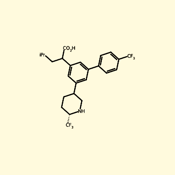 CC(C)CC(C(=O)O)c1cc(-c2ccc(C(F)(F)F)cc2)cc(C2CC[C@@H](C(F)(F)F)NC2)c1